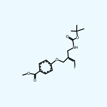 COC(=O)c1ccc(OC/C(=C\F)CNC(=O)OC(C)(C)C)cc1